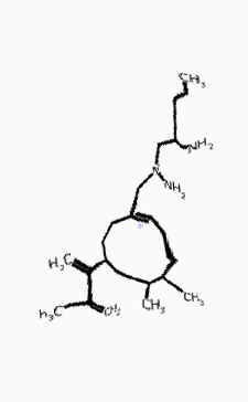 C=C(C)C(=C)C1CC/C(CN(N)CC(N)CCC)=C\CCC(C)C(C)C1